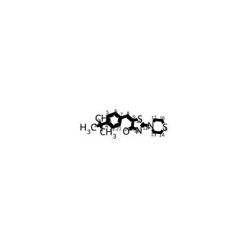 CC(C)(C)c1ccc(C=C2SC(N3CCSCC3)=NC2=O)cc1